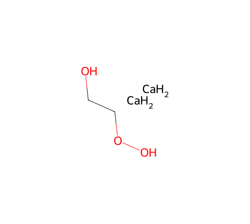 OCCOO.[CaH2].[CaH2]